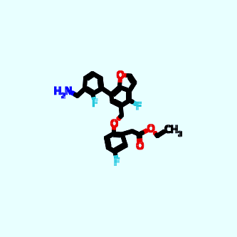 CCOC(=O)Cc1cc(F)ccc1OCc1cc(-c2cccc(CN)c2F)c2occc2c1F